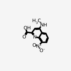 CNc1cc(C(=O)O)nc2c([N+](=O)[O-])cccc12